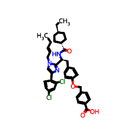 CC/C=C/Cn1cc(-c2ccc(Cl)cc2Cl)nc1[C@H](Cc1ccc(OCc2ccc(C(=O)O)cc2)cc1)NC(=O)[C@H]1CC[C@H](CC)CC1